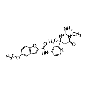 COc1ccc2oc(C(=O)Nc3ccnc(C4(C)CC(=O)N(C)C(N)=N4)c3)cc2c1